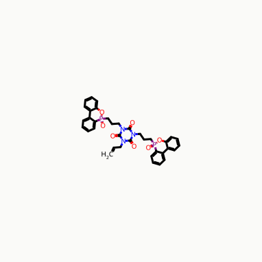 C=CCn1c(=O)n(CCCP2(=O)Oc3ccccc3-c3ccccc32)c(=O)n(CCCP2(=O)Oc3ccccc3-c3ccccc32)c1=O